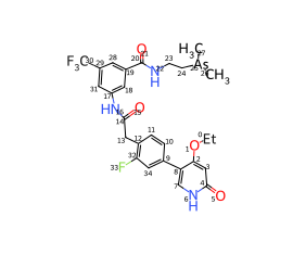 CCOc1cc(=O)[nH]cc1-c1ccc(CC(=O)Nc2cc(C(=O)NCC[As](C)C)cc(C(F)(F)F)c2)c(F)c1